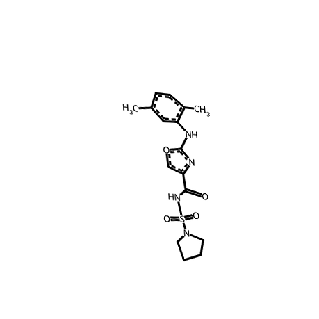 Cc1ccc(C)c(Nc2nc(C(=O)NS(=O)(=O)N3CCCC3)co2)c1